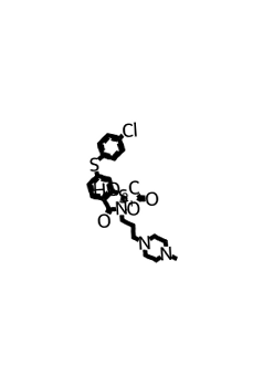 CN1CCN(CCC[N+]2(OC(=O)C(=O)O)Sc3cc(Sc4ccc(Cl)cc4)ccc3C2=O)CC1